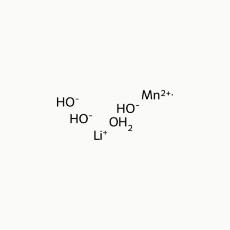 O.[Li+].[Mn+2].[OH-].[OH-].[OH-]